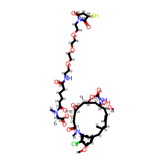 COc1cc2cc(c1Cl)N(C)C(=O)C[C@H](OC(=O)[C@H](C)N(C)C(=O)CCCCC(=O)NCCOCCOCCOCCN1C(=O)CC(S)C1=O)[C@@]1(C)OC1[C@H](C)C1CC(O)(NC(=O)O1)[C@H](OC)/C=C/C=C(\C)C2